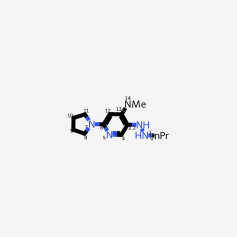 CCCNNc1cnc(N2CCCC2)cc1NC